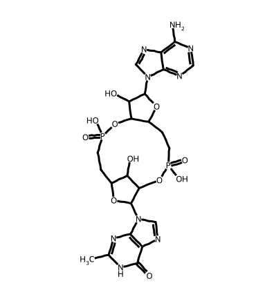 Cc1nc2c(ncn2C2OC3CCP(=O)(O)OC4C(CCP(=O)(O)OC2C3O)OC(n2cnc3c(N)ncnc32)C4O)c(=O)[nH]1